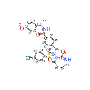 COc1ccc([C@H](C)NC(=O)c2ccc(CN([C@@H]3CCCCNC3=O)S(=O)(=O)c3ccc(Cl)cc3)cc2)cc1